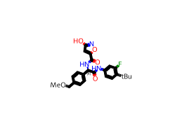 COCc1ccc([C@@H](NC(=O)c2cc(O)no2)C(=O)Nc2ccc(C(C)(C)C)c(F)c2)cc1